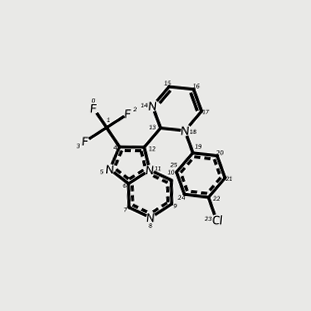 FC(F)(F)c1nc2cnccn2c1C1N=CC=CN1c1ccc(Cl)cc1